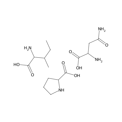 CCC(C)C(N)C(=O)O.NC(=O)CC(N)C(=O)O.O=C(O)C1CCCN1